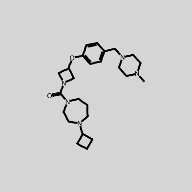 CN1CCN(Cc2ccc(OC3CN(C(=O)N4CCCN(C5CCC5)CC4)C3)cc2)CC1